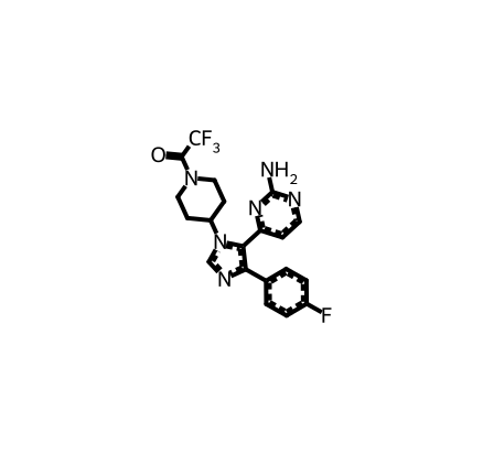 Nc1nccc(-c2c(-c3ccc(F)cc3)ncn2C2CCN(C(=O)C(F)(F)F)CC2)n1